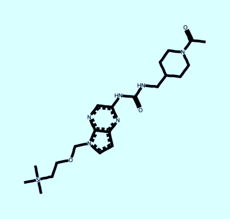 CC(=O)N1CCC(CNC(=O)Nc2cnc3c(ccn3COCC[Si](C)(C)C)n2)CC1